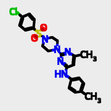 Cc1ccc(Nc2cc(C)nc(N3CCN(S(=O)(=O)c4ccc(Cl)cc4)CC3)n2)cc1